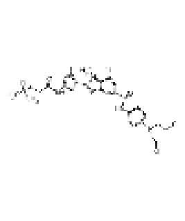 Cn1c(-c2cc(NC(=O)CC[N+](C)(C)C)c[nH]2)nc2cc(C(=O)Nc3ccc(N(CCCl)CCCl)cc3)ccc21.[Cl-]